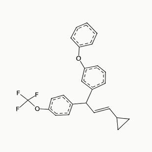 FC(F)(F)Oc1ccc(C(C=CC2CC2)c2cccc(Oc3ccccc3)c2)cc1